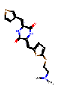 CN(C)CCSc1ccc(/C=c2\[nH]c(=O)/c(=C/c3ccsc3)[nH]c2=O)s1